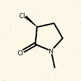 CN1CC[C@H](Cl)C1=O